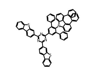 c1ccc(-c2cc(-c3nc(-c4ccc5c(c4)sc4ccccc45)nc(-c4ccc5c(c4)sc4ccccc45)n3)cc(-c3ccccc3)c2-n2c3cccc(-c4ccccc4)c3c3c(-c4ccccc4)cccc32)cc1